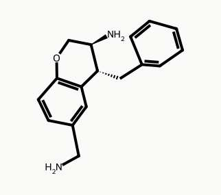 NCc1ccc2c(c1)[C@@H](Cc1ccccc1)[C@H](N)CO2